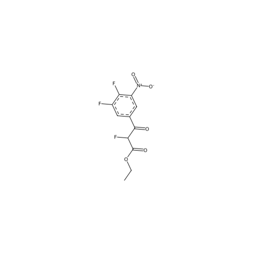 CCOC(=O)C(F)C(=O)c1cc(F)c(F)c([N+](=O)[O-])c1